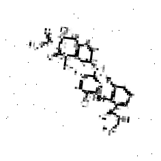 CNC(=O)c1cccc(F)c1Nc1nc(Nc2ccc3c(c2)N(C)C(=O)[C@H](C(N)=O)[C@@H](C)C3)ncc1Cl